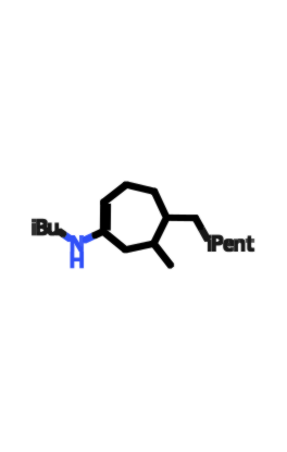 CCCC(C)CC1CCC=C(NC(C)CC)CC1C